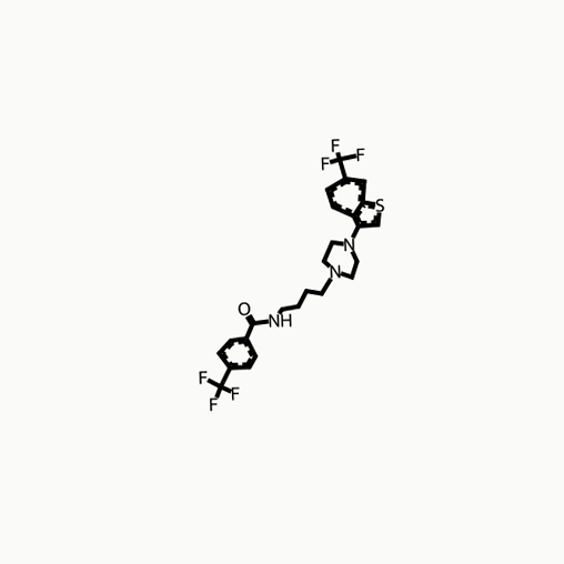 O=C(NCCCCN1CCN(c2csc3cc(C(F)(F)F)ccc23)CC1)c1ccc(C(F)(F)F)cc1